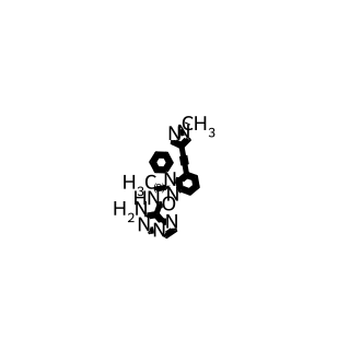 C[C@@H](NC(=O)c1c(N)ncn2ccnc12)c1nc2cccc(C#Cc3cnn(C)c3)c2n1-c1ccccc1